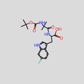 CC(C)(C)OC(=O)NC(C)(C)C(=O)NC(Cc1c[nH]c2cc(F)ccc12)C(=O)O